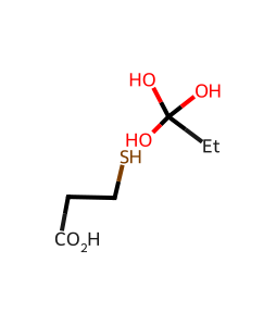 CCC(O)(O)O.O=C(O)CCS